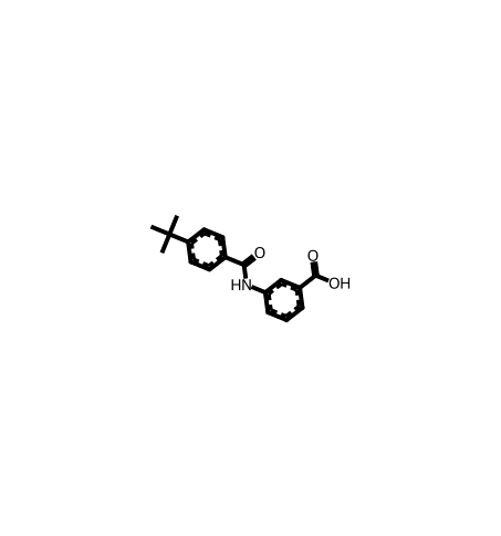 CC(C)(C)c1ccc(C(=O)Nc2cccc(C(=O)O)c2)cc1